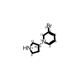 BrC1=CC=CN([C@@H]2CCNC2)C1